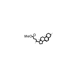 COC(=O)CC[C@@H](C)C1CCC2C3=CC=C4C[C@@H](C)CC[C@]4(C)C3CC[C@@]21C